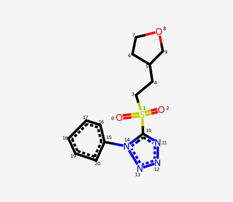 O=S(=O)(CCC1CCOC1)c1nnnn1-c1ccccc1